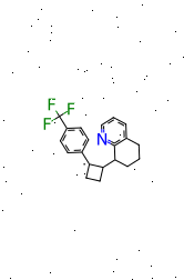 FC(F)(F)c1ccc([C]2CCC2C2CCCc3cccnc32)cc1